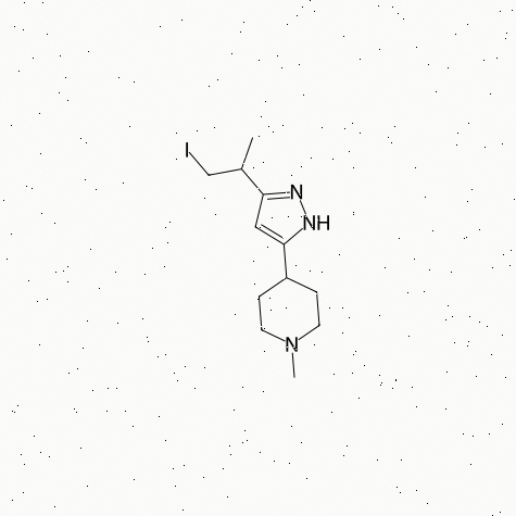 CC(CI)c1cc(C2CCN(C)CC2)[nH]n1